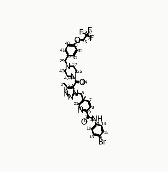 Cc1nnn(Cc2ccc(C(=O)Nc3ccc(Br)cc3)nc2)c1C(=O)N1CCN(Cc2ccc(OCC(F)(F)F)cc2)CC1